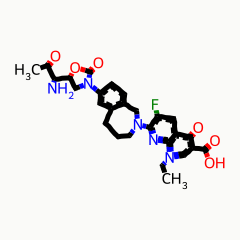 CCn1cc(C(=O)O)c(=O)c2cc(F)c(N3CCCc4cc(N5CC(C(N)C(C)=O)OC5=O)ccc4C3)nc21